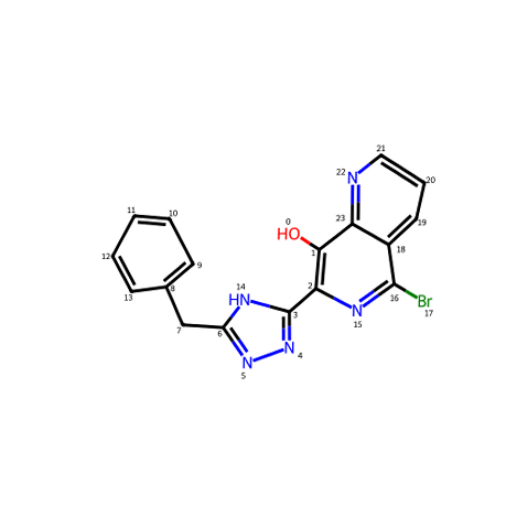 Oc1c(-c2nnc(Cc3ccccc3)[nH]2)nc(Br)c2cccnc12